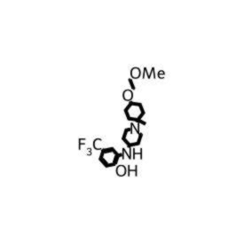 COCCOC1CCC(C)(N2CCC(Nc3cc(C(F)(F)F)ccc3O)CC2)CC1